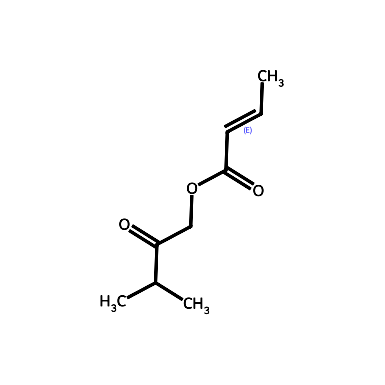 C/C=C/C(=O)OCC(=O)C(C)C